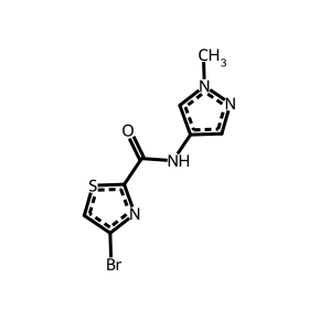 Cn1cc(NC(=O)c2nc(Br)cs2)cn1